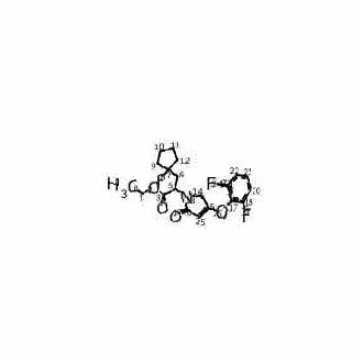 CCOC(=O)C(CC1(F)CCCC1)N1CC(Oc2c(F)cccc2F)=CC1=O